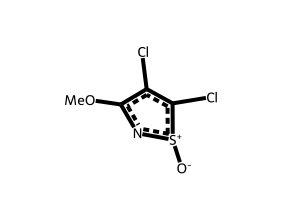 COc1n[s+]([O-])c(Cl)c1Cl